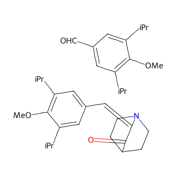 COc1c(C(C)C)cc(/C=C2\C(=O)C3CCN2CC3)cc1C(C)C.COc1c(C(C)C)cc(C=O)cc1C(C)C